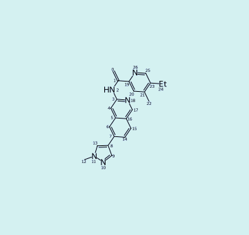 C=C(Nc1cc2cc(-c3cnn(C)c3)ccc2cn1)c1cc(C)c(CC)cn1